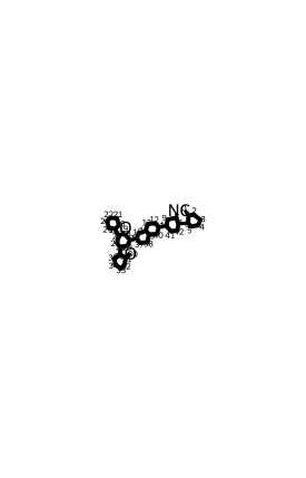 N#Cc1ccccc1-c1ccc(-c2ccc3cc(-c4c5oc6ccccc6c5cc5c4oc4ccccc45)ccc3c2)cc1